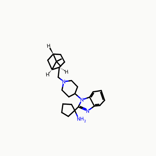 CC1(C)[C@H]2CC[C@@H](CN3CCC(n4c(C5(N)CCCC5)nc5ccccc54)CC3)[C@H]1C2